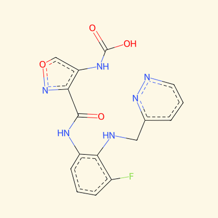 O=C(O)Nc1conc1C(=O)Nc1cccc(F)c1NCc1cccnn1